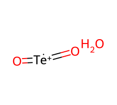 O.O=[Te+]=O